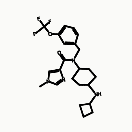 Cn1cnc(C(=O)N(Cc2cccc(OC(F)(F)F)c2)C2CCC(NC3CCC3)CC2)c1